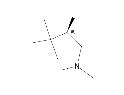 C[C@@H](CN(C)C)C(C)(C)C